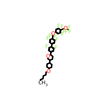 CCCCCCOC1CCC(C2CCC(c3cc(F)c(-c4cc(F)c(C(F)(F)Oc5cc(F)c(C(F)(F)OC(F)(F)F)c(F)c5)c(F)c4)c(F)c3)OC2)CC1